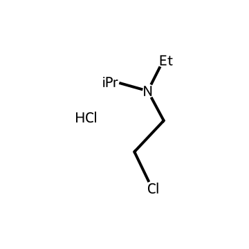 CCN(CCCl)C(C)C.Cl